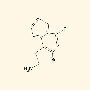 NCCc1c(Br)cc(F)c2ccccc12